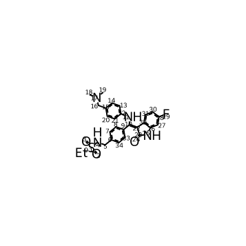 CCS(=O)(=O)NCc1ccc(C(Nc2ccc(CN(C)C)cc2)=C2C(=O)Nc3cc(F)ccc32)cc1